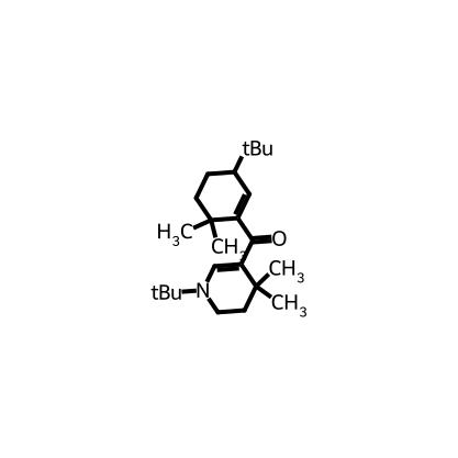 CC1(C)CCC(C(C)(C)C)C=C1C(=O)C1=CN(C(C)(C)C)CCC1(C)C